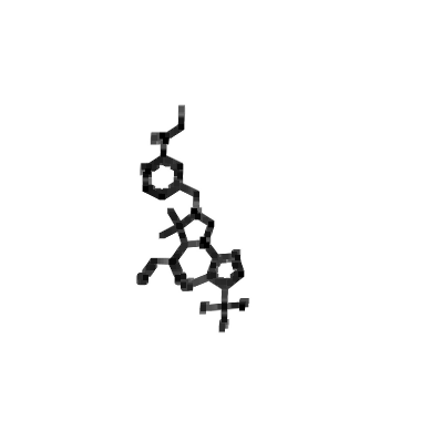 CCNc1cc(CN2CN(c3scc(C(F)(F)F)c3Cl)C(C(=O)C=O)C2(C)C)ccn1